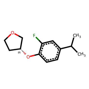 CC(C)c1ccc(O[C@@H]2CCOC2)c(F)c1